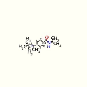 C/C(=C\C(C)(C)C)c1ccc(C(=O)NC(C)C)cc1